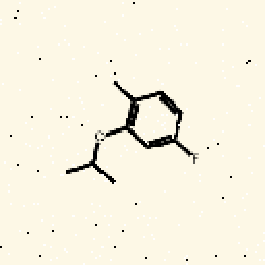 Cc1ccc(F)cc1OC(C)C